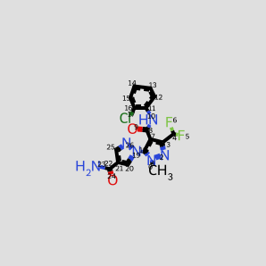 Cn1nc(C(F)F)c(C(=O)Nc2ccccc2Cl)c1-n1cc(C(N)=O)cn1